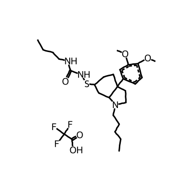 CCCCCN1CCC2(c3ccc(OC)c(OC)c3)CCC(SNC(=O)NCCCC)CC12.O=C(O)C(F)(F)F